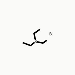 CCB(CC)CC.[B]